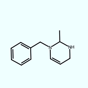 CC1NCC=CN1Cc1ccccc1